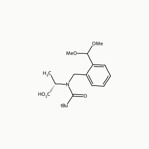 COC(OC)c1ccccc1CN(C(=O)C(C)(C)C)[C@@H](C)C(=O)O